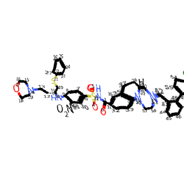 O=C(NS(=O)(=O)c1ccc(N[C@H](CCN2CCOCC2)CSc2ccccc2)c([N+](=O)[O-])c1)c1ccc2c(c1)CC[C@H]1CN(Cc3ccccc3-c3ccc(Cl)cc3)CCN21